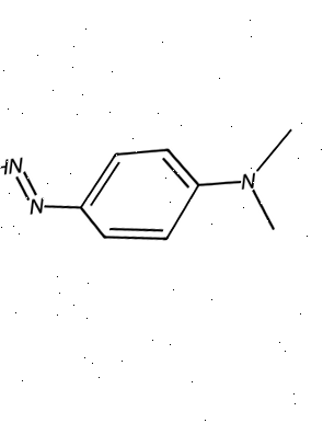 CN(C)c1ccc(N=N)cc1